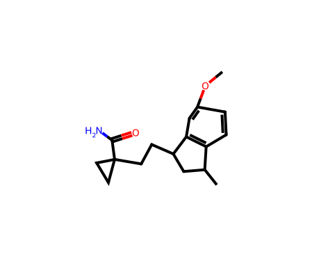 COc1ccc2c(c1)C(CCC1(C(N)=O)CC1)CC2C